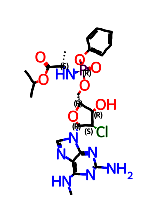 CNc1nc(N)nc2c1ncn2[C@@H]1O[C@H](CO[P@](=O)(N[C@@H](C)C(=O)OC(C)C)Oc2ccccc2)[C@@H](O)[C@@H]1Cl